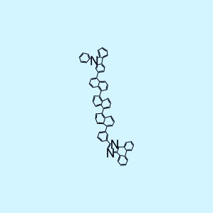 c1ccc(-n2c3ccccc3c3ccc(-c4cccc5c(-c6cccc7c(-c8cccc9c(-c%10cccc(-c%11cnc%12c%13ccccc%13c%13ccccc%13c%12n%11)c%10)cccc89)cccc67)cccc45)cc32)cc1